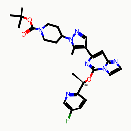 Cc1c(-c2cc3nccn3c(O[C@H](C)c3ccc(F)cn3)n2)cnn1C1CCN(C(=O)OC(C)(C)C)CC1